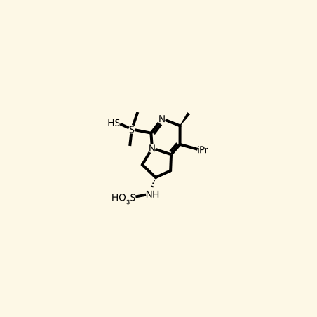 CC(C)C1=C2C[C@H](NS(=O)(=O)O)CN2C(S(C)(C)S)=N[C@H]1C